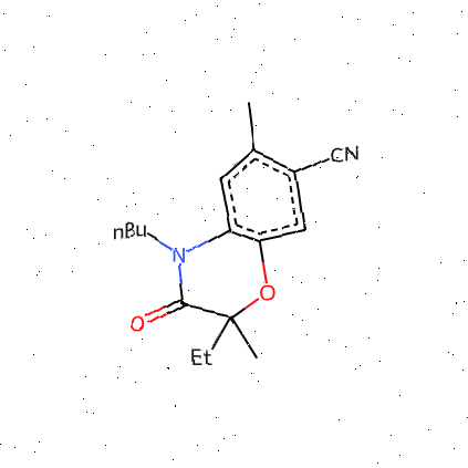 CCCCN1C(=O)C(C)(CC)Oc2cc(C#N)c(C)cc21